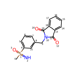 CS(=N)(=O)c1cccc(CN2C(=O)c3ccccc3C2=O)c1